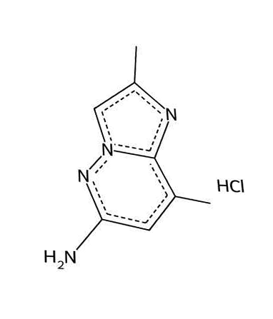 Cc1cn2nc(N)cc(C)c2n1.Cl